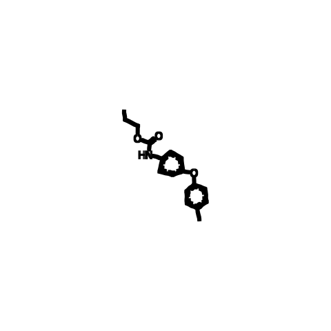 CCCOC(=O)Nc1ccc(Oc2ccc(C)cc2)cc1